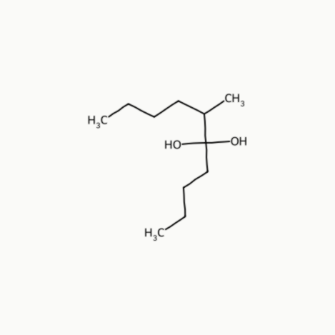 CCCCC(C)C(O)(O)CCCC